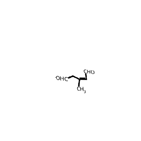 CC(=CC=O)C[C]=O